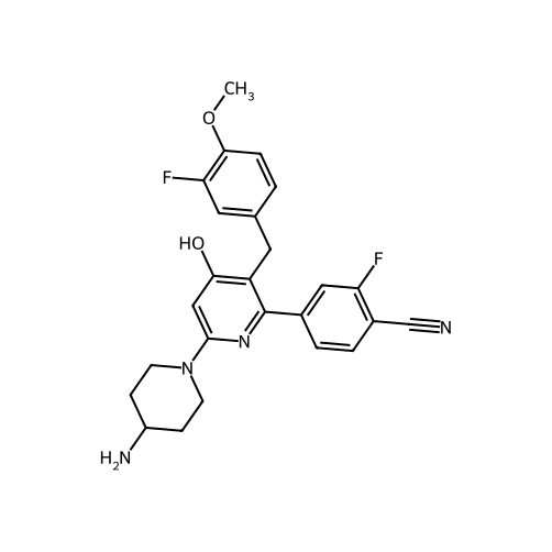 COc1ccc(Cc2c(O)cc(N3CCC(N)CC3)nc2-c2ccc(C#N)c(F)c2)cc1F